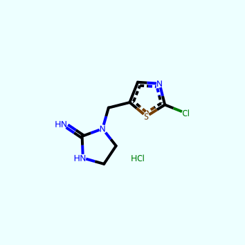 Cl.N=C1NCCN1Cc1cnc(Cl)s1